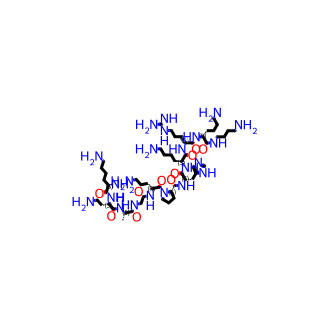 C[C@H](NC(=O)[C@H](CCN)NC(=O)[C@@H](N)CCCCN)C(=O)NCC(=O)N[C@H](CCCN)C(=O)N1CCC[C@H]1C(=O)N[C@@H](Cc1cnc[nH]1)C(=O)N[C@@H](CCCCN)C(=O)N/C(=C\CCNC(=N)N)C(=O)N[C@H](CCCCN)C(=O)NCCCCN